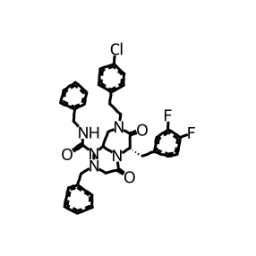 O=C1[C@H](Cc2ccc(F)c(F)c2)N2C(=O)CN(Cc3ccccc3)N(C(=O)NCc3ccccc3)C2CN1CCc1ccc(Cl)cc1